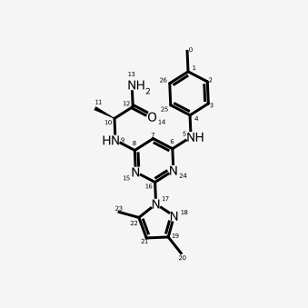 Cc1ccc(Nc2cc(N[C@@H](C)C(N)=O)nc(-n3nc(C)cc3C)n2)cc1